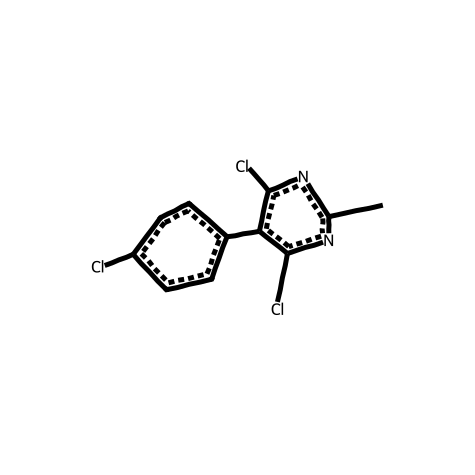 Cc1nc(Cl)c(-c2ccc(Cl)cc2)c(Cl)n1